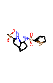 CS(=O)(=O)c1cc2cccc(NS(=O)(=O)c3cccs3)c2[nH]1